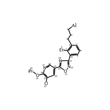 CCc1c(CCCC(C)=O)cccc1-c1noc(-c2cnc(OC(C)C)c(Cl)c2)n1